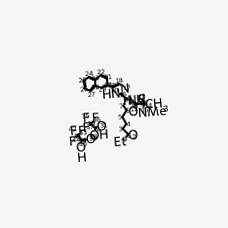 CCC(=O)CCCCC[C@H](NC(=O)C(C)(C)NC)c1ncc(-c2ccc3ccccc3c2)[nH]1.O=C(O)C(F)(F)F.O=C(O)C(F)(F)F